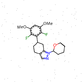 COc1cc(OC)c(F)c(C2CCc3cnn(C4CCCCO4)c3C2)c1F